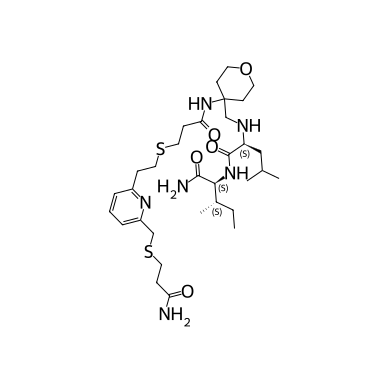 CC[C@H](C)[C@H](NC(=O)[C@H](CC(C)C)NCC1(NC(=O)CCSCCc2cccc(CSCCC(N)=O)n2)CCOCC1)C(N)=O